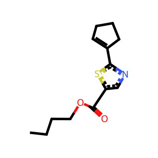 CCCCOC(=O)c1cnc(C2=CCCC2)s1